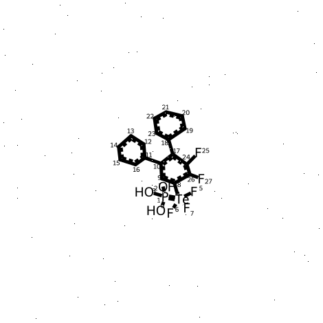 OP(O)(O)=[Te](F)(F)(F)c1cc(-c2ccccc2)c(-c2ccccc2)c(F)c1F